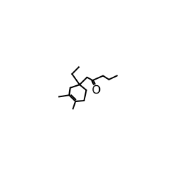 CCCC(=O)CC1(CC)CCC(C)=C(C)C1